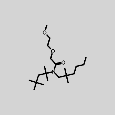 CCCCC(C)(C)CN(C(=O)COCCOC)C(C)(C)CC(C)(C)C